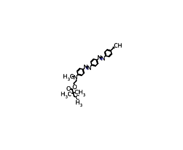 C#Cc1ccc(/N=N/c2ccc(/N=N/c3ccc(N(C)CCOC(=O)C(C)(C)CC)cc3)cc2)cc1